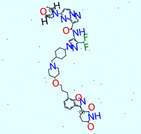 O=C1CC[C@@H](c2noc3c(CCCOC4CCN(CC5CCC(n6cc(NC(=O)c7cnn8ccc(N9C[C@H]%10C[C@@H]9CO%10)nc78)c(C(F)F)n6)CC5)CC4)cccc23)C(=O)N1